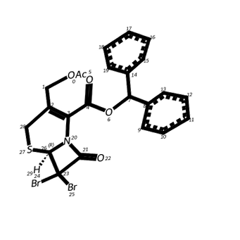 CC(=O)OCC1=C(C(=O)OC(c2ccccc2)c2ccccc2)N2C(=O)C(Br)(Br)[C@H]2SC1